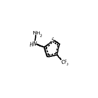 NNc1cc(C(F)(F)F)cs1